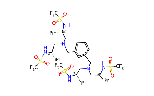 CC(C)[C@@H](CN(Cc1cccc(CN(C[C@@H](NS(=O)(=O)C(F)(F)F)C(C)C)C[C@@H](NS(=O)(=O)C(F)(F)F)C(C)C)c1)C[C@@H](NS(=O)(=O)C(F)(F)F)C(C)C)NS(=O)(=O)C(F)(F)F